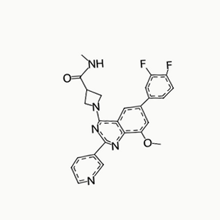 CNC(=O)C1CN(c2nc(-c3cccnc3)nc3c(OC)cc(-c4ccc(F)c(F)c4)cc23)C1